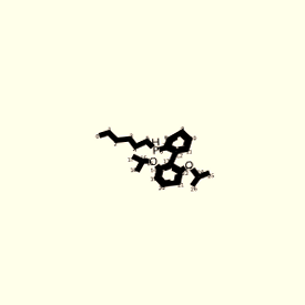 CCCCCCPc1ccccc1-c1c(OC(C)C)cccc1OC(C)C